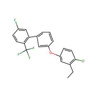 CCc1cc(Oc2cccc(-c3[c]c(F)ccc3C(F)(F)F)c2)ccc1Cl